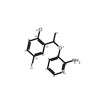 CC(Oc1cccnc1N)c1cc(F)ccc1Cl